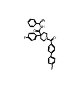 CC(C)C(NC(=O)C1(c2ccc(F)cc2)CCN(C(=O)c2ccc(-c3ccc(F)cc3)cc2)CC1)c1ccccc1